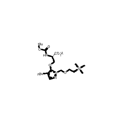 CCCCc1cnn(COCC[Si](C)(C)C)c1OC[C@H](NC(=O)OC(C)(C)C)C(=O)O